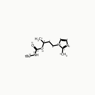 Cc1nccn1CCC(C)OC(=O)NC(C)(C)C